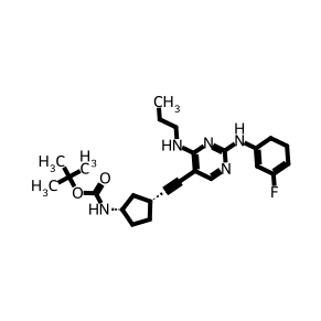 CCCNc1nc(NC2=CC(F)=CCC2)ncc1C#C[C@@H]1CC[C@H](NC(=O)OC(C)(C)C)C1